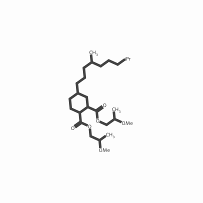 COC(C)COC(=O)C1CCC(CCCC(C)CCCC(C)C)CC1C(=O)OCC(C)OC